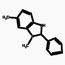 Cc1ccc2c(c1)N(C)C(c1ccccc1)N2